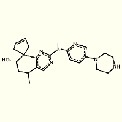 CC1C[C@H](O)C2(CC=CC2)c2nc(Nc3ccc(N4CCNCC4)cn3)ncc21